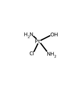 [NH2][Pt]([NH2])([OH])[Cl]